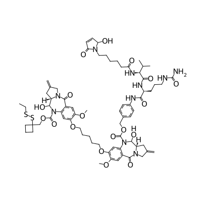 C=C1C[C@H]2C(O)N(C(=O)OCc3ccc(NC(=O)[C@H](CCCNC(N)=O)NC(=O)[C@@H](NC(=O)CCCCCN4C(=O)C=CC4O)C(C)C)cc3)c3cc(OCCCCCOc4cc5c(cc4OC)C(=O)N4CC(=C)C[C@H]4C(O)N5C(=O)OCC4(SSCC)CCC4)c(OC)cc3C(=O)N2C1